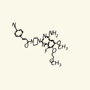 COCCOc1c(OC)cc2c(N)nc(N3CCN(C(=O)C=Cc4ccc(C#N)cc4)CC3)nc2c1F